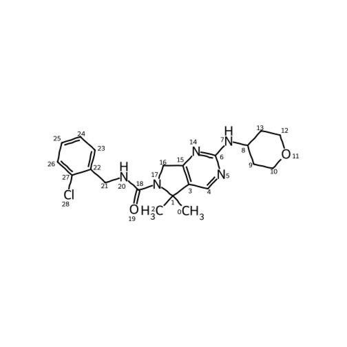 CC1(C)c2cnc(NC3CCOCC3)nc2CN1C(=O)NCc1ccccc1Cl